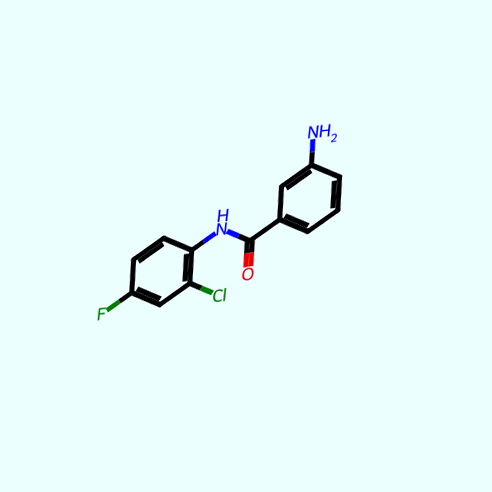 Nc1cccc(C(=O)Nc2ccc(F)cc2Cl)c1